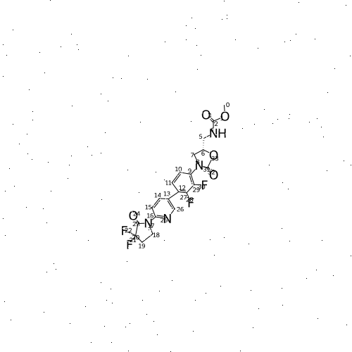 COC(=O)NC[C@H]1CN(c2ccc(-c3ccc(N4CCC(F)(F)C4=O)nc3)c(F)c2F)C(=O)O1